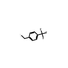 [C]Cc1ccc(C(F)(F)F)cc1